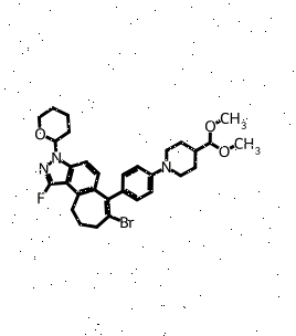 COC(OC)C1CCN(c2ccc(C3=C(Br)CCCc4c3ccc3c4c(F)nn3C3CCCCO3)cc2)CC1